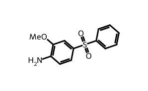 COc1cc(S(=O)(=O)c2ccccc2)ccc1N